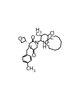 Cc1ccc(CN2C(=O)CN(C3NC4(CCCCCCCCC4)C(Cl)CC3C)C(=O)[C@H]2C2COC2)cc1